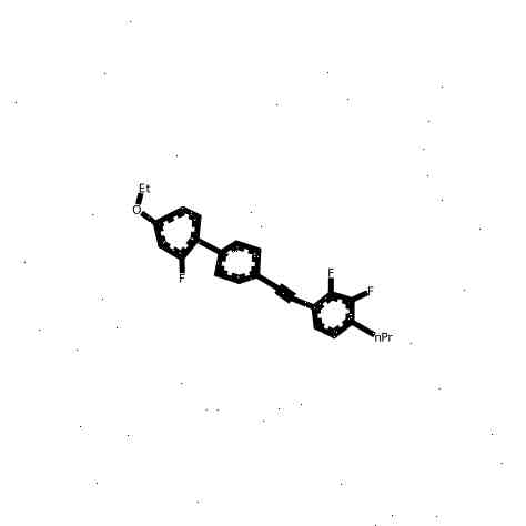 CCCc1ccc(C#Cc2ccc(-c3ccc(OCC)cc3F)cc2)c(F)c1F